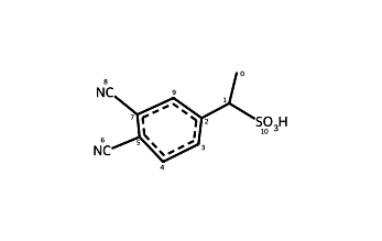 CC(c1ccc(C#N)c(C#N)c1)S(=O)(=O)O